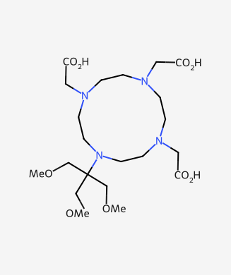 COCC(COC)(COC)N1CCN(CC(=O)O)CCN(CC(=O)O)CCN(CC(=O)O)CC1